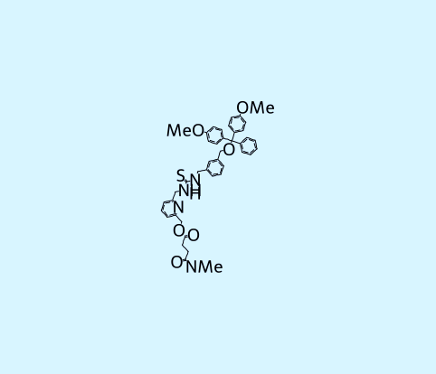 CNC(=O)CCC(=O)OCc1cccc(CNC(=S)NCc2cccc(COC(c3ccccc3)(c3ccc(OC)cc3)c3ccc(OC)cc3)c2)n1